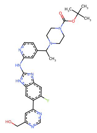 CC(c1ccnc(Nc2nc3cc(F)c(-c4cc(CO)ncn4)cc3[nH]2)c1)N1CCN(C(=O)OC(C)(C)C)CC1